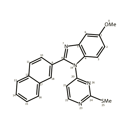 COc1ccc2c(c1)nc(-c1ccc3ccccc3c1)n2-c1ccnc(SC)n1